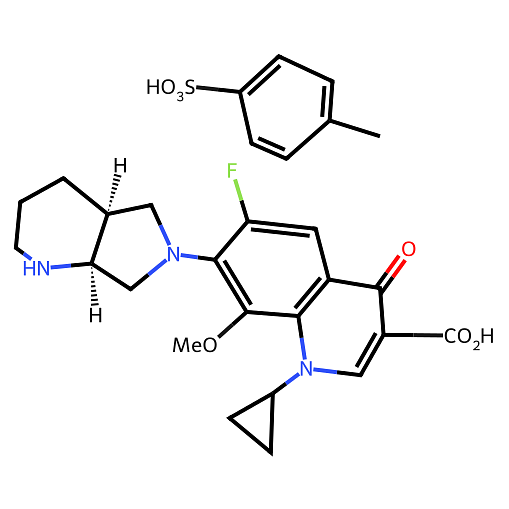 COc1c(N2C[C@@H]3CCCN[C@@H]3C2)c(F)cc2c(=O)c(C(=O)O)cn(C3CC3)c12.Cc1ccc(S(=O)(=O)O)cc1